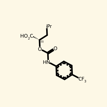 CC(C)C[C@H](OC(=O)Nc1ccc(C(F)(F)F)cc1)C(=O)O